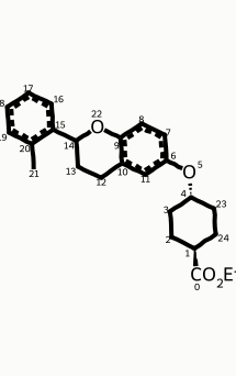 CCOC(=O)[C@H]1CC[C@H](Oc2ccc3c(c2)CCC(c2ccccc2C)O3)CC1